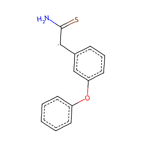 NC(=S)[CH]c1cccc(Oc2ccccc2)c1